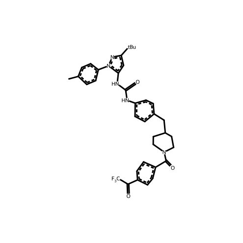 Cc1ccc(-n2nc(C(C)(C)C)cc2NC(=O)Nc2ccc(CC3CCN(C(=O)c4ccc(C(=O)C(F)(F)F)cc4)CC3)cc2)cc1